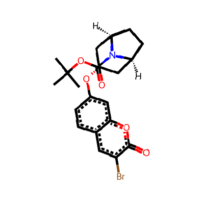 CC(C)(C)OC(=O)N1[C@@H]2CC[C@H]1C[C@H](Oc1ccc3cc(Br)c(=O)oc3c1)C2